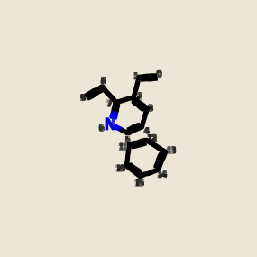 C=Cc1cccnc1C=C.c1ccccc1